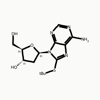 CC(C)(C)Sc1nc2c(N)ncnc2n1[C@H]1C[C@H](O)[C@@H](CO)O1